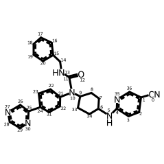 N#Cc1ccc(NC2CCC(N(C(=O)NCc3ccccc3)c3ccc(-c4cnccn4)cc3)CC2)nc1